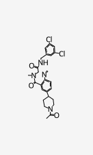 C=Nc1ccc(C2CCN(C(C)=O)CC2)cc1C(=O)N(C)CC(=O)NCc1cc(Cl)cc(Cl)c1